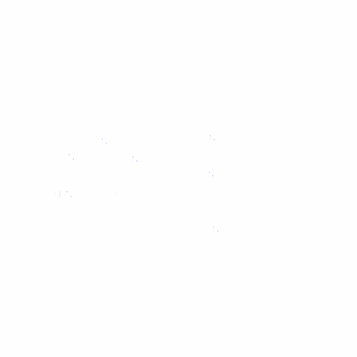 Bc1c(N)ncnc1N1CCC(c2nc(-c3ccc(F)cc3)cn2CCN2CCCC2)CC1